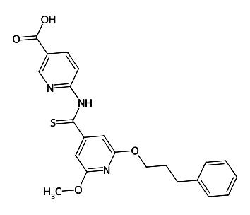 COc1cc(C(=S)Nc2ccc(C(=O)O)cn2)cc(OCCCc2ccccc2)n1